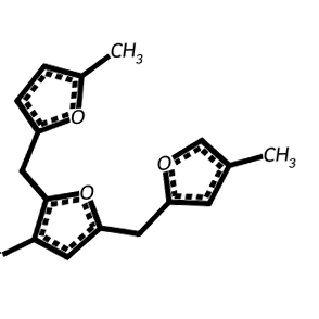 Cc1coc(Cc2cc(C)c(Cc3ccc(C)o3)o2)c1